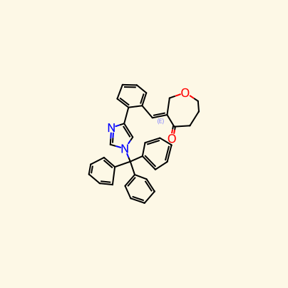 O=C1CCCOC/C1=C\c1ccccc1-c1cn(C(c2ccccc2)(c2ccccc2)c2ccccc2)cn1